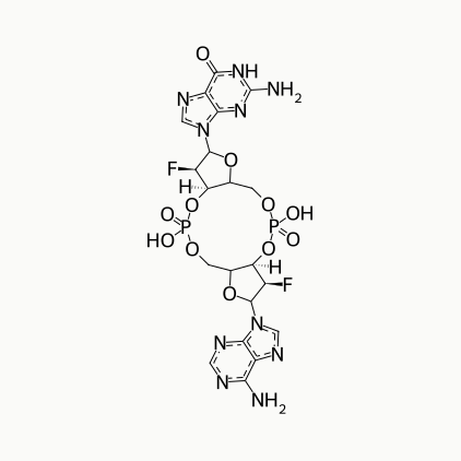 Nc1nc2c(ncn2C2OC3COP(=O)(O)O[C@@H]4C(COP(=O)(O)O[C@H]3[C@H]2F)OC(n2cnc3c(N)ncnc32)[C@@H]4F)c(=O)[nH]1